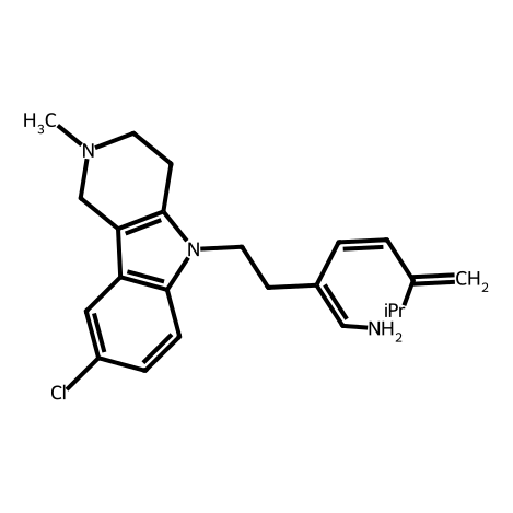 C=C(/C=C\C(=C/N)CCn1c2c(c3cc(Cl)ccc31)CN(C)CC2)C(C)C